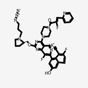 C#Cc1c(F)ccc2cc(O)cc(-c3ncc4c(N5CCN(C(=O)/C(F)=C/c6ccccn6)CC5)nc(OC[C@@H]5CCCN5CCCN=[N+]=[N-])nc4c3F)c12